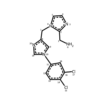 NCc1nccn1Cc1cn(-c2ccc(Cl)c(Cl)c2)cn1